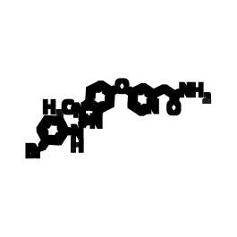 Cn1c(Nc2cccc(Br)c2)nc2cc(Oc3ccnc(CC(N)=O)c3)ccc21